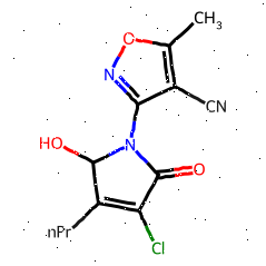 CCCC1=C(Cl)C(=O)N(c2noc(C)c2C#N)C1O